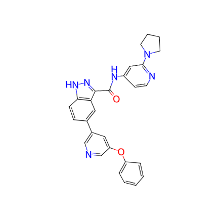 O=C(Nc1ccnc(N2CCCC2)c1)c1n[nH]c2ccc(-c3cncc(Oc4ccccc4)c3)cc12